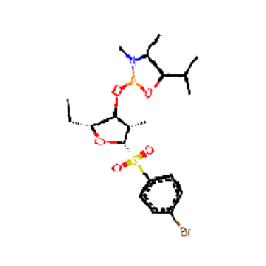 CC[C@H]1O[C@@H](S(=O)(=O)c2ccc(Br)cc2)[C@@H](C)C1OP1OC(C(C)C)C(C)N1C